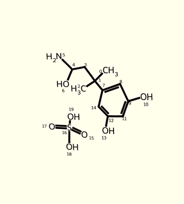 CC(C)(CC(N)O)c1cc(O)cc(O)c1.O=S(=O)(O)O